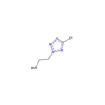 CCc1nnn(CCNC)n1